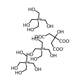 O=C([O-])CC(O)(CC(=O)[O-])C(=O)[O-].OC[P+](CO)(CO)CO.OC[P+](CO)(CO)CO.OC[P+](CO)(CO)CO